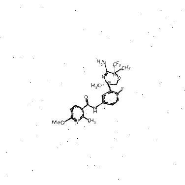 COc1ccc(C(=O)Nc2ccc(F)c([C@]3(C)CO[C@@](C)(C(F)(F)F)C(N)=N3)c2)c(C)n1